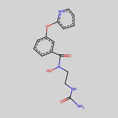 NC(=O)NCCN(O)C(=O)c1cccc(Oc2ccccn2)c1